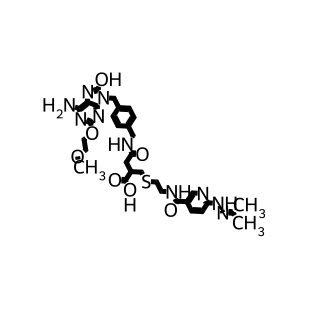 COCCOc1nc(N)c2nc(O)n(Cc3ccc(CNC(=O)CC(CSCCNC(=O)c4ccc(NN=C(C)C)nc4)C(=O)O)cc3)c2n1